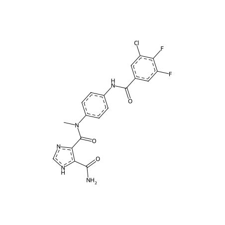 CN(C(=O)c1nc[nH]c1C(N)=O)c1ccc(NC(=O)c2cc(F)c(F)c(Cl)c2)cc1